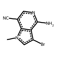 Cn1cc(Br)c2c(N)ncc(C#N)c21